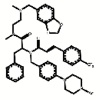 CC(=O)N1CCN(c2ccc(CN(C(=O)C=Cc3ccc(C(F)(F)F)cc3)C(Cc3ccccc3)C(=O)N(C)CCN(C)Cc3ccc4c(c3)OCO4)cc2)CC1